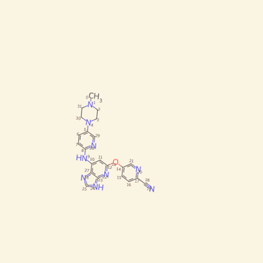 CN1CCN(c2ccc(Nc3cc(Oc4ccc(C#N)nc4)nc4[nH]cnc34)nc2)CC1